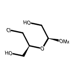 CO[C@H](CO)O[C@@H](CO)CCl